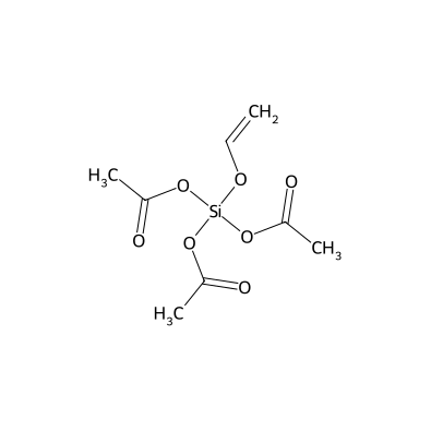 C=CO[Si](OC(C)=O)(OC(C)=O)OC(C)=O